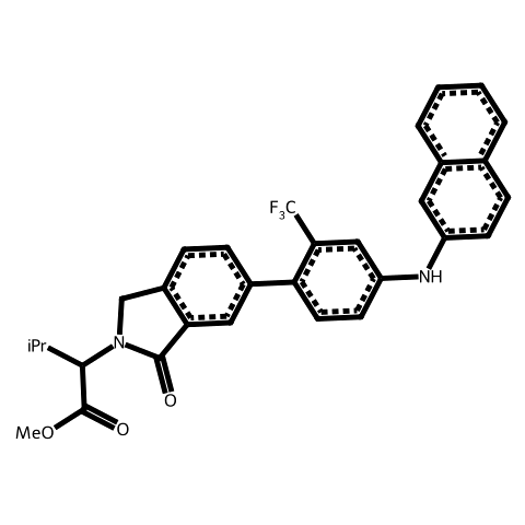 COC(=O)C(C(C)C)N1Cc2ccc(-c3ccc(Nc4ccc5ccccc5c4)cc3C(F)(F)F)cc2C1=O